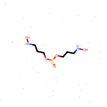 O=[PH](OCCCNO)OCCCNO